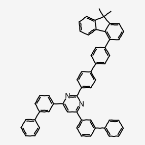 CC1(C)c2ccccc2-c2c(-c3ccc(-c4ccc(-c5nc(-c6cccc(-c7ccccc7)c6)cc(-c6cccc(-c7ccccc7)c6)n5)cc4)cc3)cccc21